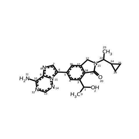 CC(O)c1cc(-c2cnc3c(N)ncnn23)cc2c1C(=O)N(C(C)C1CC1)C2